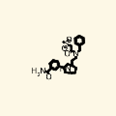 CS(=O)(=O)CC(=O)N(CCC12CCC(CC(c3cccc(C(N)=O)c3)C1)N2)Cc1ccccc1